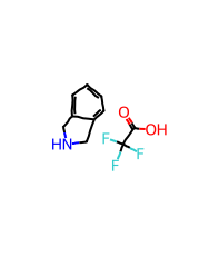 O=C(O)C(F)(F)F.c1ccc2c(c1)CNC2